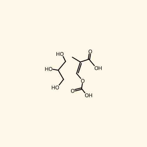 CC(=COC(=O)O)C(=O)O.OCC(O)CO